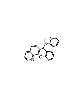 Oc1c(C(Nc2ccccn2)c2ccccc2)ccc2cccnc12